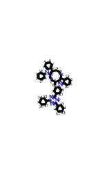 C=C1/C=C\c2c(c3ccccc3n2-c2ccccc2)C/C=C\c2c1n(-c1ccc(-c3nc(-c4ccccc4)nc(-c4ccccc4)n3)cc1)c1ccccc21